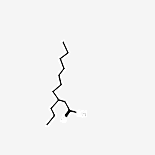 CCCCCCCC(CCC)CC(=O)O